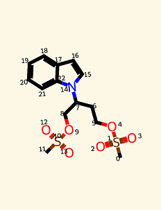 CS(=O)(=O)OCCC(COS(C)(=O)=O)n1ccc2ccccc21